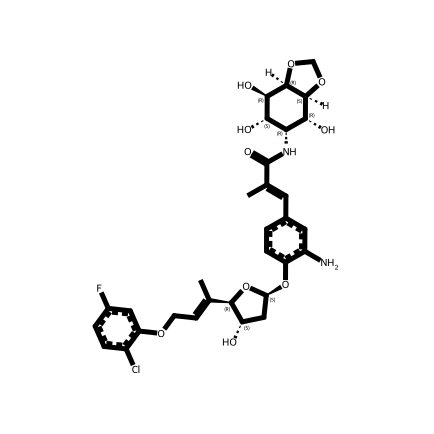 CC(=Cc1ccc(O[C@H]2C[C@H](O)[C@@H](C(C)=CCOc3cc(F)ccc3Cl)O2)c(N)c1)C(=O)N[C@@H]1[C@H](O)[C@@H](O)[C@H]2OCO[C@H]2[C@@H]1O